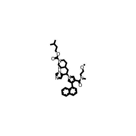 COCCN(C)C(=O)c1cn(C(CC2CCN(C(=O)OCCC(C)C)CC2)c2cnc[nH]2)cc1-c1cccc2ccccc12